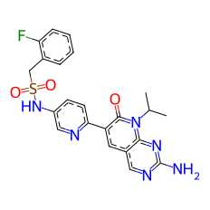 CC(C)n1c(=O)c(-c2ccc(NS(=O)(=O)Cc3ccccc3F)cn2)cc2cnc(N)nc21